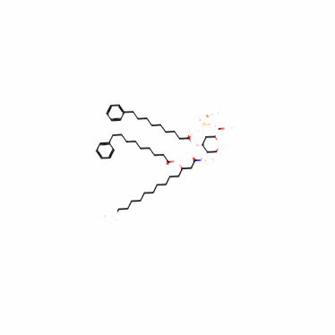 CCCCCCCCCCCC(CC(=O)N[C@H]1CO[C@H](CO)[C@@H](OS(=O)(=O)O)[C@@H]1OC(=O)CCCCCCCCc1ccccc1)OC(=O)CCCCCCCCc1ccccc1